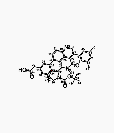 Cc1cc(F)cc(-c2cnc3ccc(-c4cc(F)cc(CC(=O)O)c4)cc3c2C(=O)N(C)C[C@@H]2CCCN2C(=O)OC(C)(C)C)c1